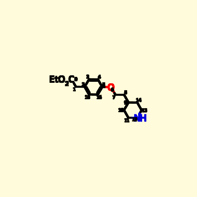 CCOC(=O)Cc1ccc(OCCC2CCNCC2)cc1